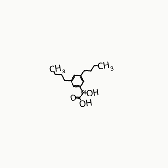 CCCCc1cc(CCCC)cc([C@@H](O)C(=O)O)c1